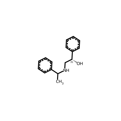 CC(NC[C@@H](O)c1ccccc1)c1ccccc1